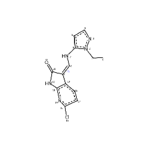 CCn1nccc1N/C=C1\C(=O)Nc2nc(Cl)ccc21